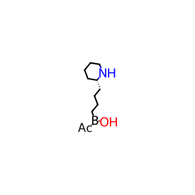 CC(=O)B(O)CCCC[C@@H]1CCCCN1